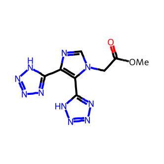 COC(=O)Cn1cnc(-c2nnn[nH]2)c1-c1nnn[nH]1